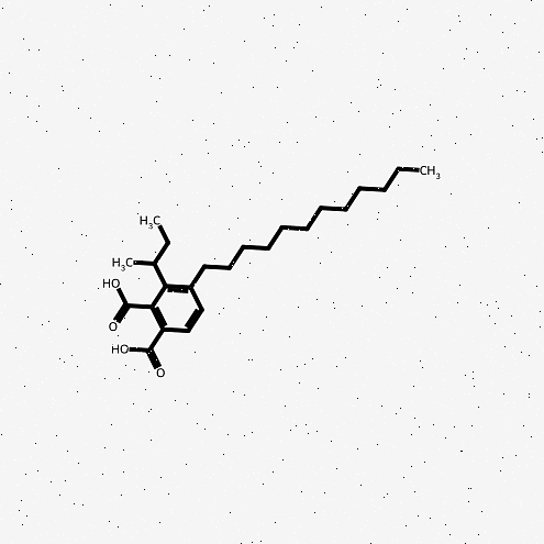 CCCCCCCCCCCCc1ccc(C(=O)O)c(C(=O)O)c1C(C)CC